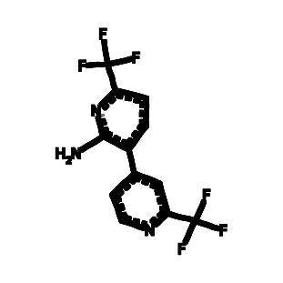 Nc1nc(C(F)(F)F)ccc1-c1ccnc(C(F)(F)F)c1